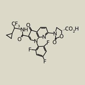 O=C(NC(C1CC1)C(F)(F)F)c1cn(-c2c(F)cc(F)cc2F)c2nc(N3C[C@H](C(=O)O)OC3=O)ccc2c1=O